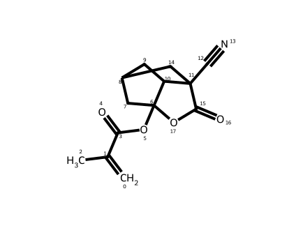 C=C(C)C(=O)OC12CC3CC1C(C#N)(C3)C(=O)O2